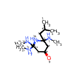 CNC1(CC(C)C)CC(=O)CC(NC)(NC)N1